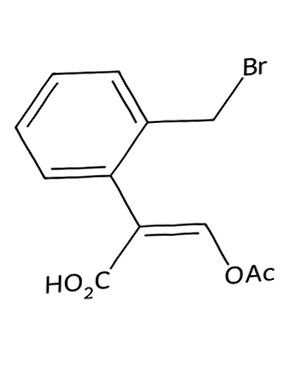 CC(=O)OC=C(C(=O)O)c1ccccc1CBr